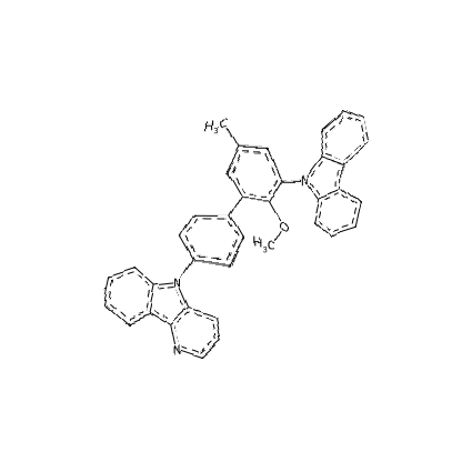 COc1c(-c2ccc(-n3c4ccccc4c4ncccc43)cc2)cc(C)cc1-n1c2ccccc2c2ccccc21